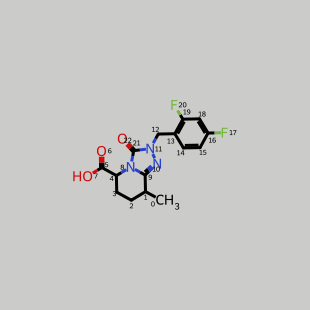 CC1CCC(C(=O)O)n2c1nn(Cc1ccc(F)cc1F)c2=O